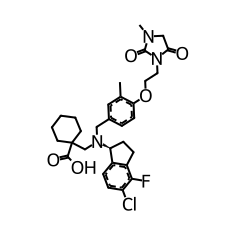 Cc1cc(CN(CC2(C(=O)O)CCCCC2)[C@H]2CCc3c2ccc(Cl)c3F)ccc1OCCN1C(=O)CN(C)C1=O